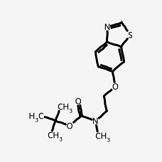 CN(CCOc1ccc2n[c]sc2c1)C(=O)OC(C)(C)C